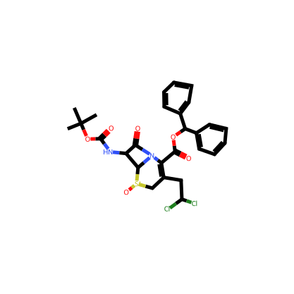 CC(C)(C)OC(=O)NC1C(=O)N2C(C(=O)OC(c3ccccc3)c3ccccc3)=C(CC(Cl)Cl)C[S+]([O-])C12